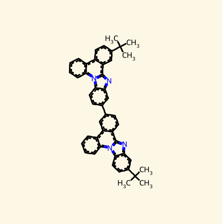 CC(C)(C)c1ccc2c(c1)nc1c3ccc(-c4ccc5c(c4)nc4c6cc(C(C)(C)C)ccc6c6ccccc6n54)cc3c3ccccc3n21